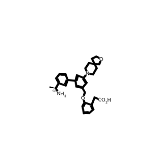 C[C@H](N)c1cccc(-c2cc(COc3ccccc3CC(=O)O)cc(N3CCC4(CCOC4)CC3)c2)c1